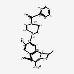 CC1Sc2c(C(=O)O)c(=O)c3cc(F)c(N4CCN(C(=O)c5ccccn5)CC4)cc3n21